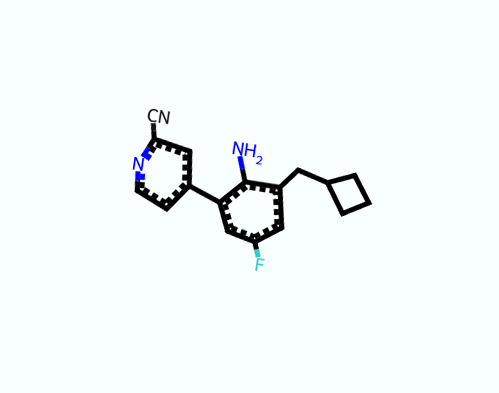 N#Cc1cc(-c2cc(F)cc(CC3CCC3)c2N)ccn1